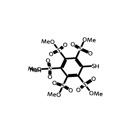 COS(=O)(=O)c1c(S)c(S(=O)(=O)OC)c(S(=O)(=O)OC)c(S(=O)(=O)OC)c1S(=O)(=O)OC.[NaH]